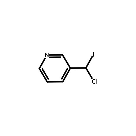 ClC(I)c1cccnc1